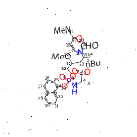 CCCCOC(=O)[C@H](C)NP(=O)(OCC(CC(C)N(C=O)/C=C\C(=O)NC)OC)Oc1cccc2ccccc12